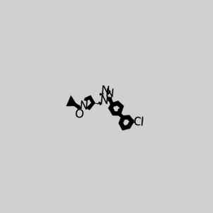 O=C(C1CC1)N1CC[C@H](Cn2cnnc2-c2ccc(-c3cccc(Cl)c3)cc2)C1